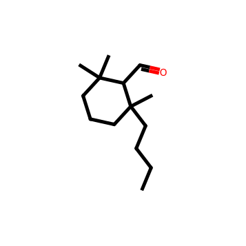 CCCCC1(C)CCCC(C)(C)C1C=O